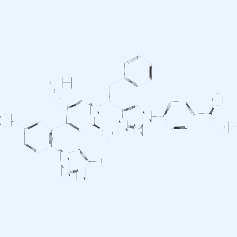 COc1cn(C(Cc2ccccc2)c2cn(-c3ccc(C(=O)O)cc3)nn2)c(=O)cc1-c1cc(Cl)ccc1-n1cc(Cl)nn1